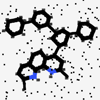 Cc1ccc2ccc3c(-c4cc(-c5ccccc5)cc(-c5cccc(-c6ccccc6)c5)c4)cc(C)nc3c2n1